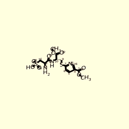 COC(=O)c1ccc(SC[C@H](NC(=O)C(N)CS(=O)(=O)O)C(=O)OC)nc1